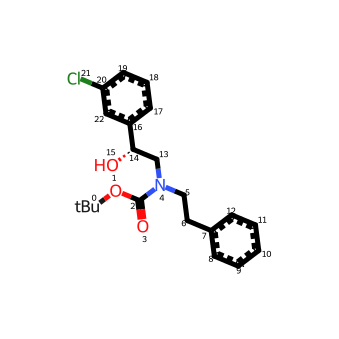 CC(C)(C)OC(=O)N(CCc1c[c]ccc1)C[C@H](O)c1cccc(Cl)c1